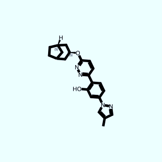 Cc1cnn(-c2ccc(-c3ccc(O[C@H]4CC5CC[C@@H](C5)C4)nn3)c(O)c2)c1